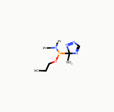 CC(C)N(C(C)C)P(OCCC#N)C1([N+](=O)[O-])N=CN=N1